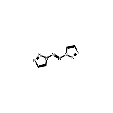 c1cn(/N=N/n2ccnn2)nn1